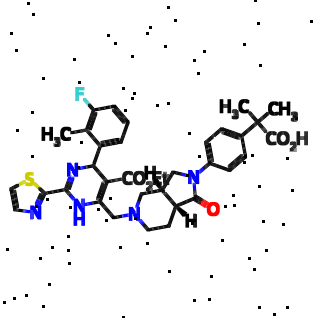 CCOC(=O)C1=C(CN2CC[C@H]3C(=O)N(c4ccc(C(C)(C)C(=O)O)cc4)C[C@H]3C2)NC(c2nccs2)=NC1c1cccc(F)c1C